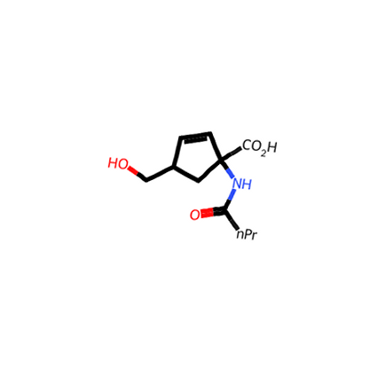 CCCC(=O)NC1(C(=O)O)C=CC(CO)C1